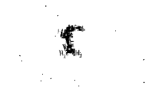 COc1cc(C)c(F)c(COc2cnc(Nc3ccc(OC4COC4)nc3)nc2)c1F